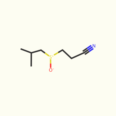 CC(C)C[S+]([O-])CCC#N